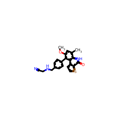 COc1cc(C)c2[nH]c(=O)c3sccc3c2c1-c1ccc(CNCC#N)cc1